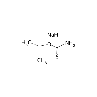 CC(C)OC(N)=S.[NaH]